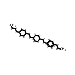 CCCCC1CCC(CCC2CCC(CCc3ccc(CCC)cc3)CC2)CC1